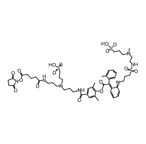 Cc1ccccc1/C(C(=O)Oc1c(C)cc(C(=O)NCCCN(CCCNC(=O)CCCC(=O)ON2C(=O)CCC2=O)CCCS(=O)(=O)O)cc1C)=C1/C=CC=C/C1=N\CCCS(=O)(=O)NCCN(C)CCCS(=O)(=O)O